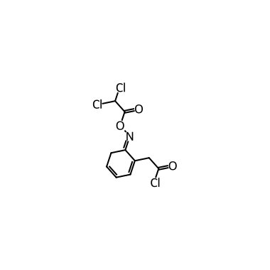 O=C(Cl)CC1=CC=CCC1=NOC(=O)C(Cl)Cl